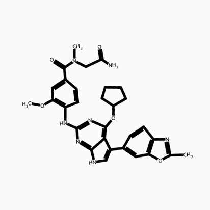 COc1cc(C(=O)N(C)CC(N)=O)ccc1Nc1nc(OC2CCCC2)c2c(-c3ccc4nc(C)oc4c3)c[nH]c2n1